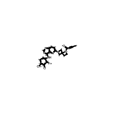 CC#CC(=O)N1CCC12CN(c1ccc3ncnc(Nc4ccc(Cl)c(Cl)c4F)c3n1)C2